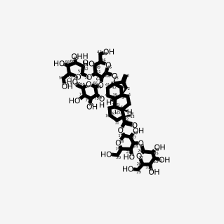 C=C1C[C@@]23CC[C@H]4[C@@](C)(CCC[C@@]4(C)C(=O)OC4OC(CO)C(O)C(OC5OC(CO)C(O)C(O)C5O)C4O)[C@@H]2CC[C@]1(OC1OC(CO)C(O)C(OC2OC(CO)C(O)C(O)C2O)C1OC1OC(CO)C(O)C(O)C1O)C3